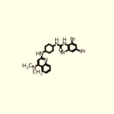 CC(C)c1cc(Br)c(NC(=O)NC2CCC(Nc3cc(N(C)C)c4ccccc4n3)CC2)c(Br)c1